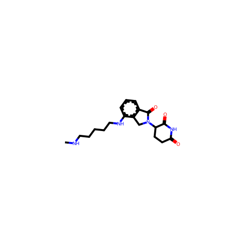 CNCCCCCNc1cccc2c1CN(C1CCC(=O)NC1=O)C2=O